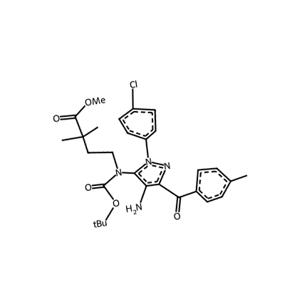 COC(=O)C(C)(C)CCN(C(=O)OC(C)(C)C)c1c(N)c(C(=O)c2ccc(C)cc2)nn1-c1ccc(Cl)cc1